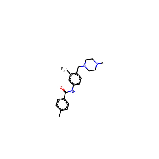 Cc1ccc(C(=O)Nc2ccc(CN3CCN(C)CC3)c(C(F)(F)F)c2)cc1